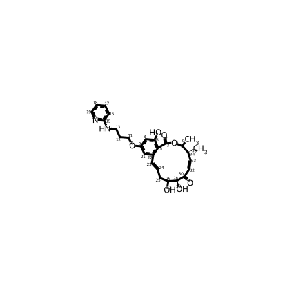 CC1OC(=O)c2c(O)cc(OCCCNc3ccccn3)cc2/C=C/CC(O)[C@H](O)C(=O)/C=C\[C@H]1C